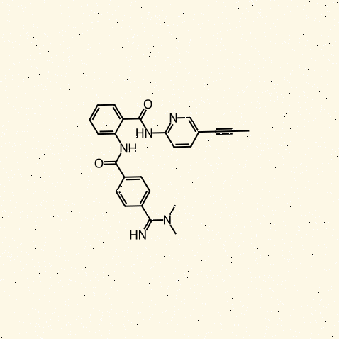 CC#Cc1ccc(NC(=O)c2ccccc2NC(=O)c2ccc(C(=N)N(C)C)cc2)nc1